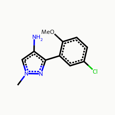 COc1ccc(Cl)cc1-c1nn(C)cc1N